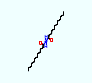 CCCCCCCCCCCC(=O)NNC(=O)CCCCCCCCCCC